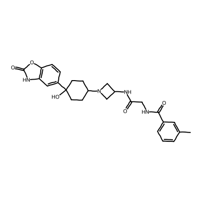 Cc1cccc(C(=O)NCC(=O)NC2CN(C3CCC(O)(c4ccc5oc(=O)[nH]c5c4)CC3)C2)c1